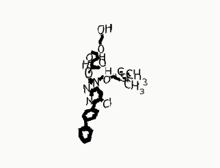 C[Si](C)(C)CCOCn1c(O[C@@H]2CO[C@H]3[C@@H]2OC[C@H]3OCCO)nc2nc(-c3ccc(-c4ccccc4)cc3)c(Cl)cc21